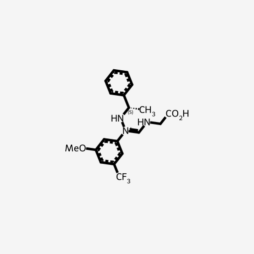 COc1cc([N+](=CNCC(=O)O)N[C@@H](C)c2ccccc2)cc(C(F)(F)F)c1